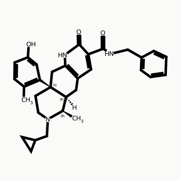 Cc1ccc(O)cc1[C@]12CCN(CC3CC3)[C@H](C)[C@@H]1Cc1cc(C(=O)NCc3ccccc3)c(=O)[nH]c1C2